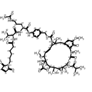 COc1cc2cc(c1Cl)N(C)C(=O)CC(OC(=O)C(C)C)[C@]1(C)O[C@H]1C(C)C1CC(O)(NC(=O)O1)C(OC)/C=C/C1N(C(=O)OCc3ccc(NC(=O)[C@H](CCCNC(N)=O)NC(=O)[C@@H](NC(=O)CCCCCN4C(=O)C=CC4=O)C(C)C)cc3)C1(C)C2